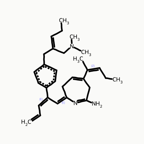 C=C/C=C(\C=C1/CC=C(/C(C)=C\CC)CC(N)=N1)c1ccc(CC(=CCC)CN(C)C)cc1